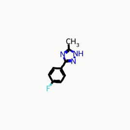 Cc1nc(-c2ccc(F)cc2)n[nH]1